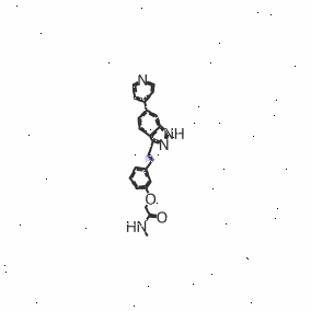 CNC(=O)COc1cccc(/C=C/c2n[nH]c3cc(-c4ccncc4)ccc23)c1